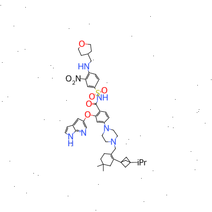 CC(C)C12CC(C3=C(CN4CCN(c5ccc(C(=O)NS(=O)(=O)c6ccc(NCC7CCOCC7)c([N+](=O)[O-])c6)c(Oc6cnc7[nH]ccc7c6)c5)CC4)CCC(C)(C)C3)(C1)C2